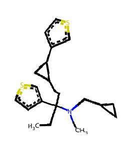 CCC(CC1CC1c1ccsc1)(c1ccsc1)N(C)CC1CC1